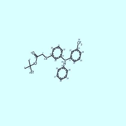 CCC(C)(C)OC(=O)CSc1cccc([SH](c2ccccc2)c2cccc(C(F)(F)F)c2)c1